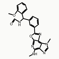 CNc1nc2oc(-c3cccc(C(NC=O)c4ccccc4OC)c3)nc2c2c1ncn2C